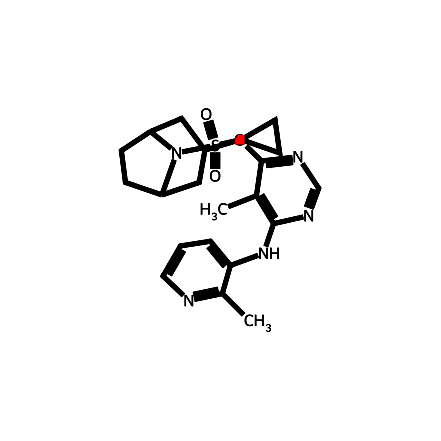 Cc1ncccc1Nc1ncnc(OC2CC3CCC(C2)N3S(=O)(=O)C2CC2)c1C